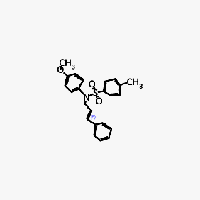 COc1ccc(N(C/C=C/c2ccccc2)S(=O)(=O)c2ccc(C)cc2)cc1